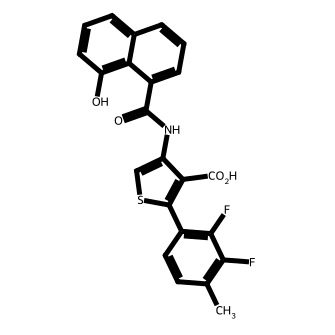 Cc1ccc(-c2scc(NC(=O)c3cccc4cccc(O)c34)c2C(=O)O)c(F)c1F